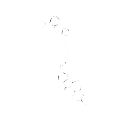 CN(C)c1cccc(-c2cnn([C@H]3C[C@H](CCCNc4ccc5c(c4)C(=O)N(C4CCC(=O)NC4=O)C5=O)C3)c2)n1